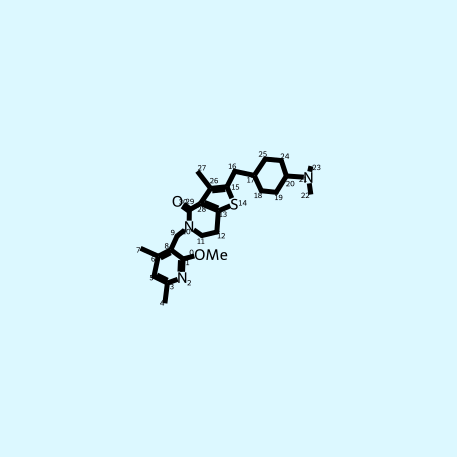 COc1nc(C)cc(C)c1CN1CCc2sc(CC3CCC(N(C)C)CC3)c(C)c2C1=O